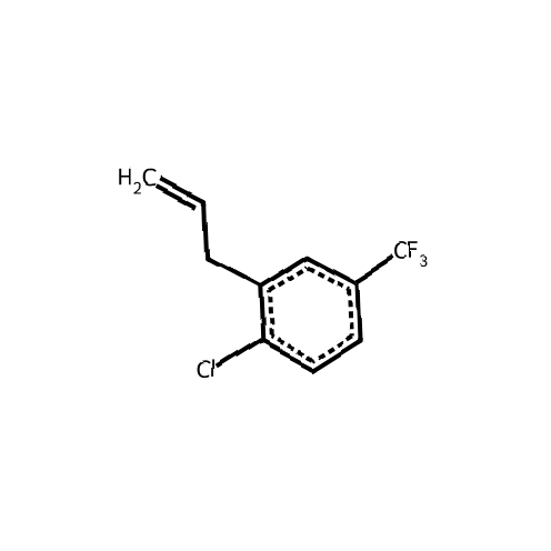 C=CCc1cc(C(F)(F)F)ccc1Cl